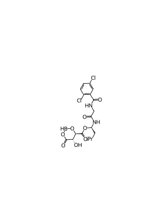 CC(C)C[C@H](NC(=O)CNC(=O)c1cc(Cl)ccc1Cl)OC(=O)[C@@H]1OBOC(=O)[C@H]1O